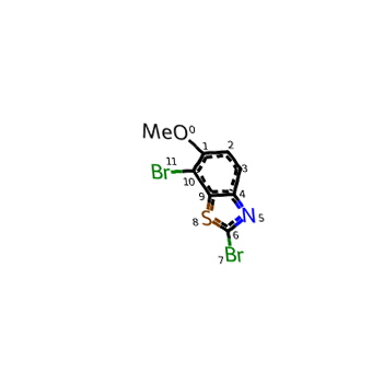 COc1ccc2nc(Br)sc2c1Br